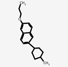 CCCOc1ccc2cc(C3CCC(C)CC3)ccc2c1